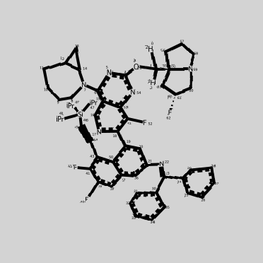 [2H]C([2H])(Oc1nc(N2CCCCC3CC32)c2cnc(-c3cc(N=C(c4ccccc4)c4ccccc4)cc4cc(F)c(F)c(C#C[Si](C(C)C)(C(C)C)C(C)C)c34)c(F)c2n1)[C@@]12CCCN1C[C@H](F)C2